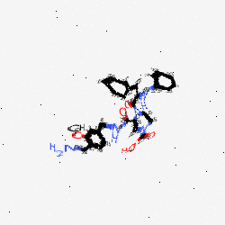 COc1cc(CNC(=O)[C@@H]2CN(C(=O)O)CCN2C(=O)[C@@H](CC2CCCCC2)NC2CCCCC2)ccc1CN